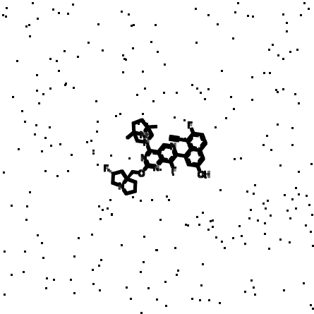 C#Cc1c(F)ccc2cc(O)cc(-c3ncc4c(N5CC6(C)CCC(C)(C5)N6)nc(OC[C@@]56CCCN5C[C@H](F)C6)nc4c3F)c12